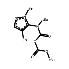 CC(C)n1ncc(C#N)c1N(C(=O)OC(=O)OC(C)(C)C)C(C)(C)C